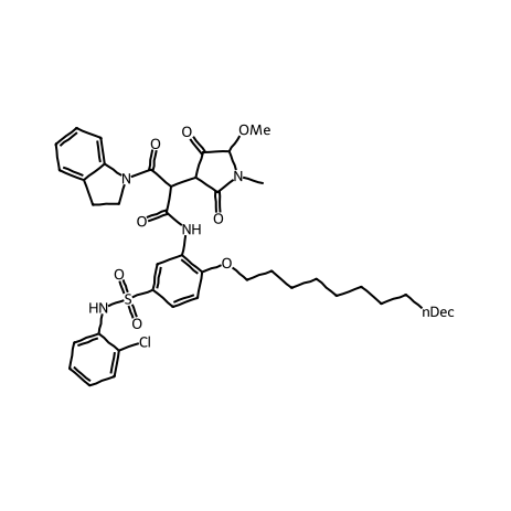 CCCCCCCCCCCCCCCCCCOc1ccc(S(=O)(=O)Nc2ccccc2Cl)cc1NC(=O)C(C(=O)N1CCc2ccccc21)C1C(=O)C(OC)N(C)C1=O